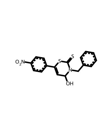 O=[N+]([O-])c1ccc(C2=CC(O)N(Cc3ccccc3)C(=S)S2)cc1